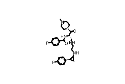 CN1CCN(C(=O)[C@H](CNCCNC2C[C@H]2c2ccc(F)cc2)NC(=O)c2ccc(F)cc2)CC1